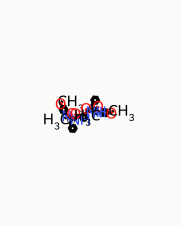 COc1ccc(N(C)C(=O)[C@H](Cc2ccccc2)NC(=O)c2cccc(C(=O)N[C@@H](Cc3ccccc3)C(=O)N(C)c3ccc(OC)cc3)c2)cc1